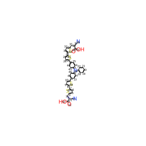 N#C/C(=C\c1ccc(-c2ccc(-c3ccc(N(c4ccccc4)c4ccc(-c5ccc(-c6ccc(CC(C#N)C(=O)O)s6)s5)cc4)cc3)s2)s1)C(=O)O